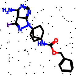 Nc1ncnc2c1c(I)nn2C12CCC(NC(=O)OCc3ccccc3)(CC1)C2